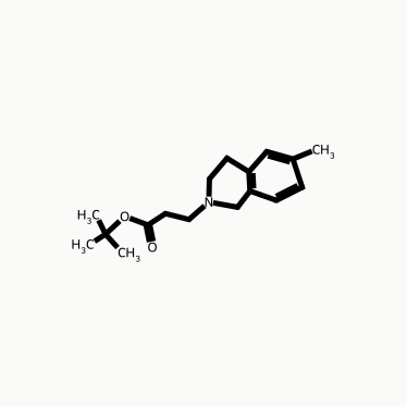 Cc1ccc2c(c1)CCN(CCC(=O)OC(C)(C)C)C2